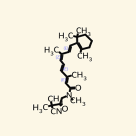 CC1=C(/C=C/C(C)=C\C=C\C(C)=C\C(=O)N(C)CC(=O)C(C)(C)C#N)C(C)(C)CCC1